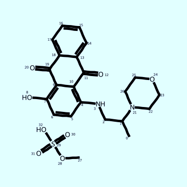 CC(CNc1ccc(O)c2c1C(=O)c1ccccc1C2=O)N1CCOCC1.COS(=O)(=O)O